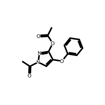 CC(=O)Oc1nn(C(C)=O)cc1Oc1ccccc1